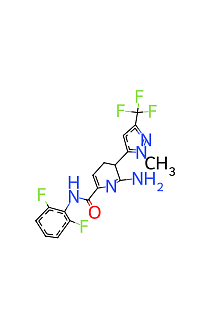 Cn1nc(C(F)(F)F)cc1C1CC=C(C(=O)Nc2c(F)cccc2F)N=C1N